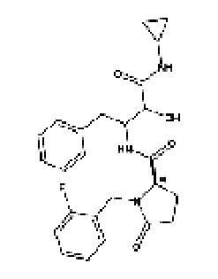 O=C(NC1CC1)C(O)C(Cc1ccccc1)NC(=O)[C@H]1CCC(=O)N1Cc1ccccc1F